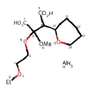 CCOCCOC(OC)(C(=O)O)C(C(=O)O)C1CCCCO1.[AlH3]